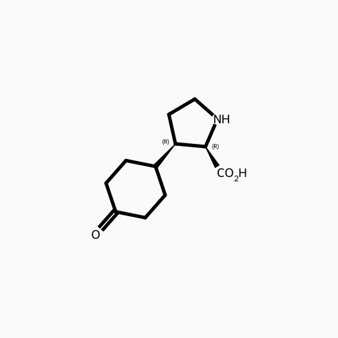 O=C1CCC([C@H]2CCN[C@H]2C(=O)O)CC1